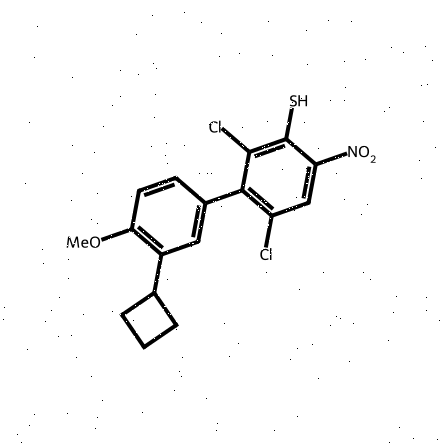 COc1ccc(-c2c(Cl)cc([N+](=O)[O-])c(S)c2Cl)cc1C1CCC1